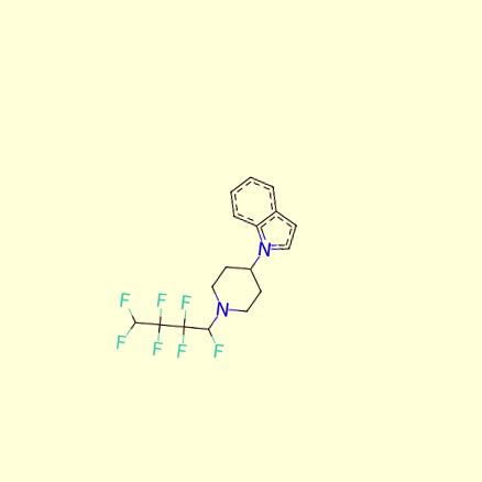 FC(F)C(F)(F)C(F)(F)C(F)N1CCC(n2ccc3ccccc32)CC1